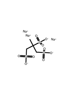 CC(CS(=O)(=O)[O-])(CS(=O)(=O)[O-])S(=O)(=O)[O-].[Na+].[Na+].[Na+]